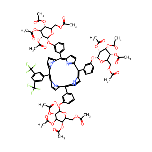 CC(=O)OCC1O[C@H](Oc2cccc(-c3c4nc(c(-c5cccc(O[C@H]6OC(COC(C)=O)[C@@H](OC(C)=O)C(OC(C)=O)[C@H]6OC(C)=O)c5)c5ccc([nH]5)c(-c5cc(C(F)(F)F)cc(C(F)(F)F)c5)c5nc(c(-c6cccc(O[C@H]7OC(COC(C)=O)[C@@H](OC(C)=O)C(OC(C)=O)[C@H]7OC(C)=O)c6)c6ccc3[nH]6)C=C5)C=C4)c2)[C@H](OC(C)=O)C(OC(C)=O)[C@@H]1OC(C)=O